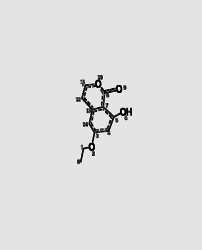 CCOc1cc(O)c2c(=O)o[c]cc2c1